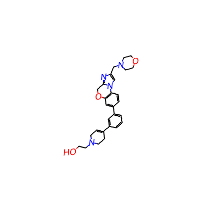 OCCN1CC=C(c2cccc(-c3ccc4c(c3)OCc3nc(CN5CCOCC5)cn3-4)c2)CC1